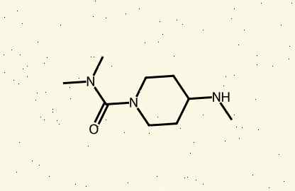 CNC1CCN(C(=O)N(C)C)CC1